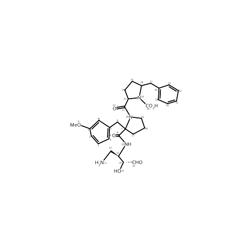 COc1cccc(CC2(C(=O)N[C@H](CN)[C@@H](O)C=O)CCCN2C(=O)C2CCC(Cc3ccccc3)N2C(=O)O)c1